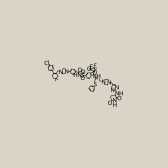 CC1(C)CCC(c2ccc(Cl)cc2)=C(CN2CCN(c3ccc(C(=O)NS(=O)(=O)c4ccc(N[C@H](CCN5CCN(Cc6cnc(NC7CCC(=O)NC7=O)nc6)CC5)CSc5ccccc5)c(S(=O)(=O)C(F)(F)F)c4)cc3)CC2)C1